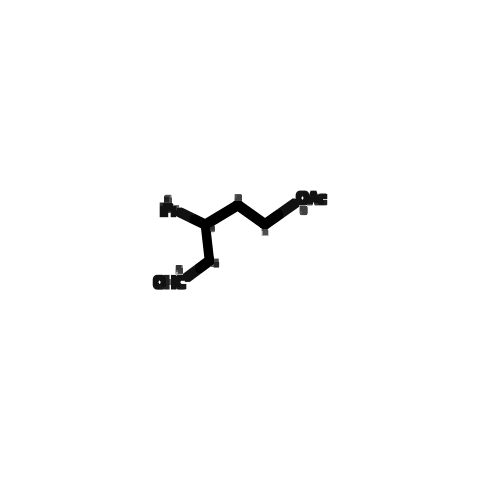 CC(=O)OCCC(CC=O)C(C)C